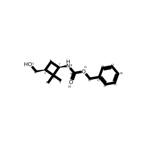 CC1(C)[C@@H](CO)C[C@H]1NC(=O)OCc1ccccc1